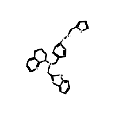 c1csc(CNCc2ccc(CN(Cc3nc4ccccc4[nH]3)C3CCCc4cccnc43)cc2)c1